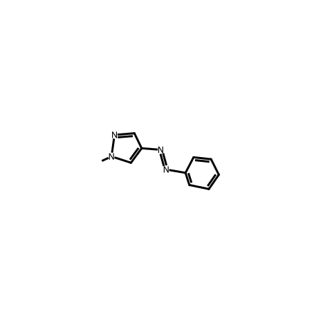 Cn1cc(N=Nc2ccccc2)cn1